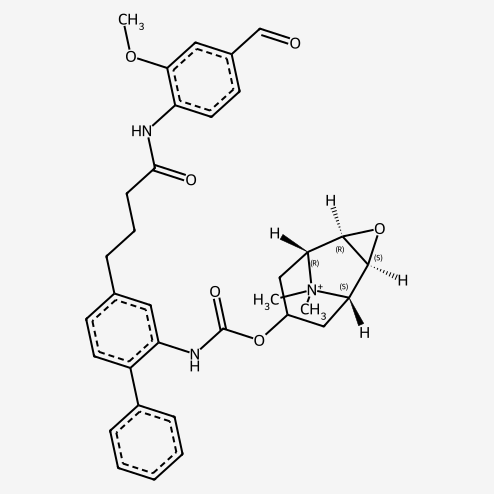 COc1cc(C=O)ccc1NC(=O)CCCc1ccc(-c2ccccc2)c(NC(=O)OC2C[C@@H]3[C@H]4O[C@H]4[C@H](C2)[N+]3(C)C)c1